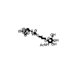 CC(=O)N[C@H]1[C@H](OCCCCCNC(=O)OC[C@H](CC(C)(C)C)OP(=O)(O)OC(C)(C)C)O[C@H](CO)[C@H](O)[C@@H]1O